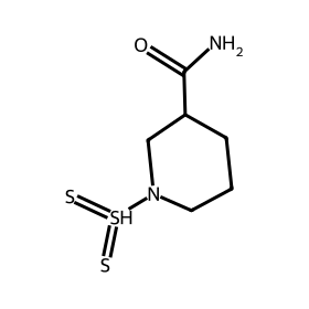 NC(=O)C1CCCN([SH](=S)=S)C1